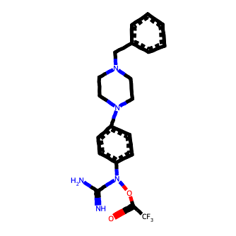 N=C(N)N(OC(=O)C(F)(F)F)c1ccc(N2CCN(Cc3ccccc3)CC2)cc1